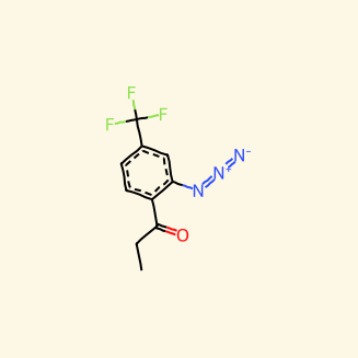 CCC(=O)c1ccc(C(F)(F)F)cc1N=[N+]=[N-]